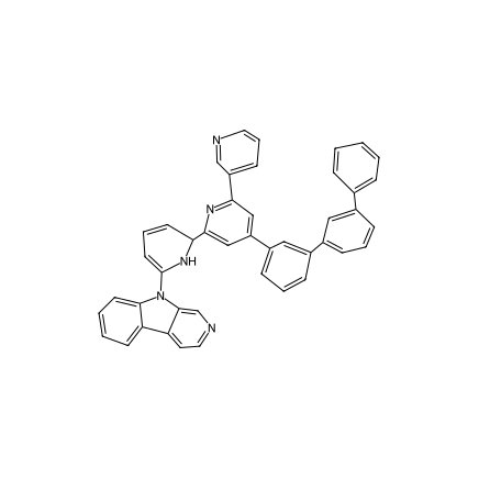 C1=CC(c2cc(-c3cccc(-c4cccc(-c5ccccc5)c4)c3)cc(-c3cccnc3)n2)NC(n2c3ccccc3c3ccncc32)=C1